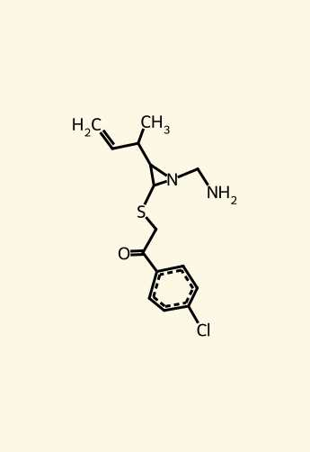 C=CC(C)C1C(SCC(=O)c2ccc(Cl)cc2)N1CN